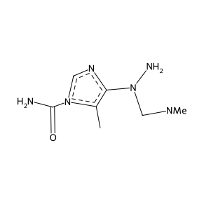 CNCN(N)c1ncn(C(N)=O)c1C